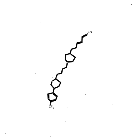 N#CC=CC=CCCC1CCC(CCCCC2CCC(c3ccc(C(F)(F)F)cc3)CC2)CC1